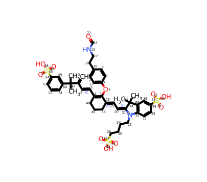 C=C(/C=C/C1=C(Oc2ccc(CCNC=O)cc2)C(=C/C=C2/N(CCCCS(=O)(=O)O)c3ccc(S(=O)(=O)O)cc3C2(C)C)/CCC1)C(C)(C)c1cccc(S(=O)(=O)O)c1